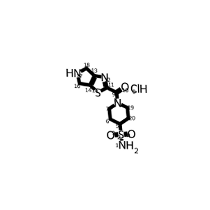 Cl.NS(=O)(=O)C1CCN(C(=O)c2nc3c(s2)CNC3)CC1